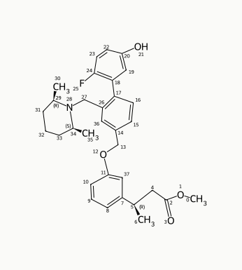 COC(=O)C[C@@H](C)c1cccc(OCc2ccc(-c3cc(O)ccc3F)c(CN3[C@H](C)CCC[C@@H]3C)c2)c1